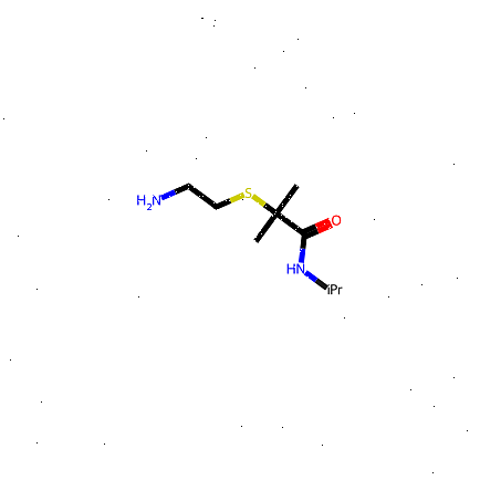 CC(C)NC(=O)C(C)(C)SCCN